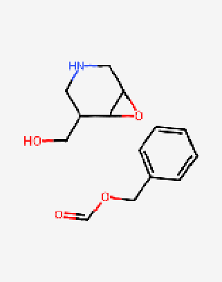 O=COCc1ccccc1.OCC1CNCC2OC12